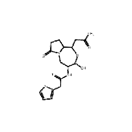 CC(=O)CC1OB(O)[C@@H](NC(=O)Cc2cccs2)CN2C(=O)CCC12